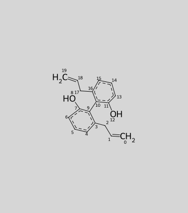 C=CCc1cccc(O)c1-c1c(O)cccc1CC=C